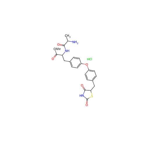 COC(=O)C(Cc1ccc(Oc2ccc(CC3SC(=O)NC3=O)cc2)cc1)NC(=O)C(C)N.Cl